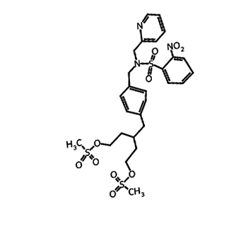 CS(=O)(=O)OCCC(CCOS(C)(=O)=O)Cc1ccc(CN(Cc2ccccn2)S(=O)(=O)c2ccccc2[N+](=O)[O-])cc1